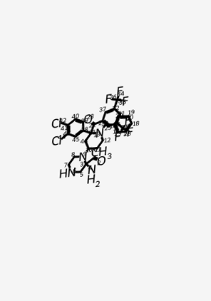 CC(=O)C1(N)CNCCN1C1CCN(Cc2ccccc2)C(C(=O)c2cc(C(F)(F)F)cc(C(F)(F)F)c2)(c2ccc(Cl)c(Cl)c2)C1